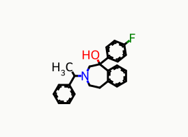 CC(c1ccccc1)N1CCc2ccccc2C(O)(c2ccc(F)cc2)C1